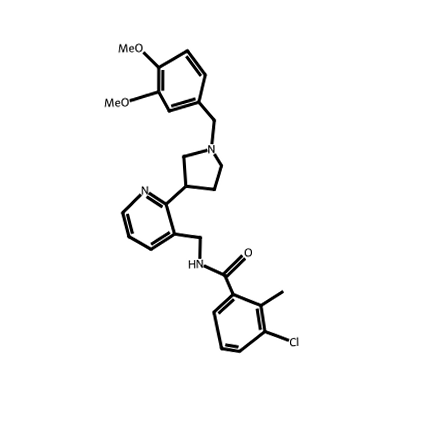 COc1ccc(CN2CCC(c3ncccc3CNC(=O)c3cccc(Cl)c3C)C2)cc1OC